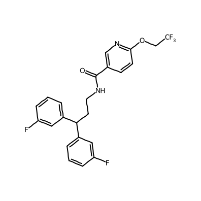 O=C(NCCC(c1cccc(F)c1)c1cccc(F)c1)c1ccc(OCC(F)(F)F)nc1